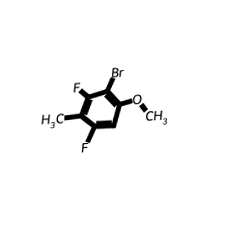 COc1cc(F)c(C)c(F)c1Br